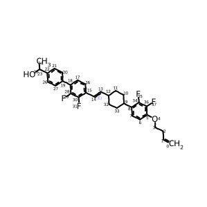 C=CCCOc1ccc(C2CCC(/C=C/c3ccc(-c4ccc(C(C)O)cc4)c(F)c3F)CC2)c(F)c1F